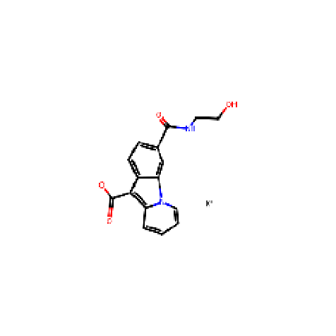 O=C(NCCO)c1ccc2c(C(=O)[O-])c3ccccn3c2c1.[K+]